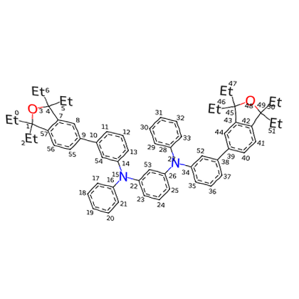 CCC1(CC)OC(CC)(CC)c2cc(-c3cccc(N(c4ccccc4)c4cccc(N(c5ccccc5)c5cccc(-c6ccc7c(c6)C(CC)(CC)OC7(CC)CC)c5)c4)c3)ccc21